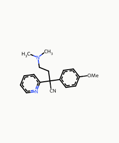 COc1ccc(C(C#N)(CCN(C)C)c2ccccn2)cc1